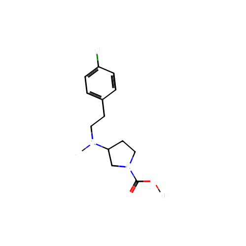 CCN(CCc1ccc(Cl)cc1)C1CCN(C(=O)OC(C)(C)C)C1